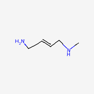 CNC/C=C/CN